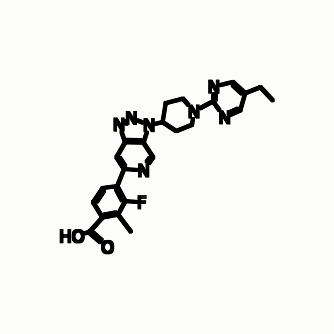 CCc1cnc(N2CCC(n3nnc4cc(-c5ccc(C(=O)O)c(C)c5F)ncc43)CC2)nc1